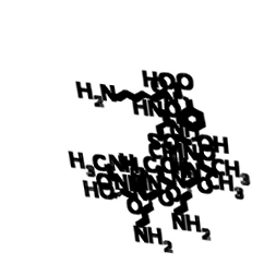 CSCC[C@H](NC(=O)[C@H](CO)NC(=O)[C@@H](NC(=O)[C@H](CCCCN)NC(=O)[C@@H](NC(=O)[C@H](CCCCN)NC(=O)[C@H](CO)NC(=O)[C@H](C)N)C(C)C)C(C)C)C(=O)N[C@@H](CCCCN)C(=O)N[C@@H](Cc1ccccc1)C(=O)O